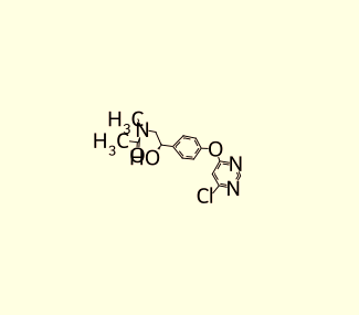 CC(=O)N(C)C[C@H](O)c1ccc(Oc2cc(Cl)ncn2)cc1